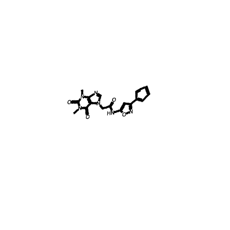 Cn1c(=O)c2c(ncn2CC(=O)Nc2cc(-c3ccccc3)no2)n(C)c1=O